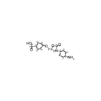 Nc1ccc(N2CC(COc3ccc(C(=O)O)cc3)OC2=O)cc1